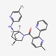 Cc1ccc(C(=O)N2C[C@@H]3C[C@@H](Nc4ccc(C(F)(F)F)cn4)[C@@H]2C3)c(-c2ccccn2)n1